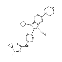 C[C@@H](OC(=O)Nc1ccc(-c2c(C#N)c3cc(N4CCOCC4)ccc3n2C2CCC2)cc1)C1CC1